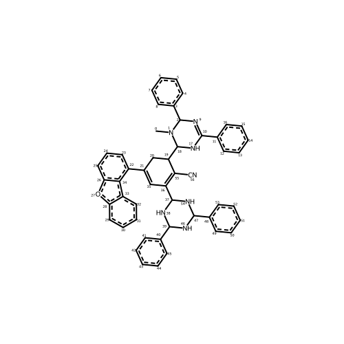 CN1C(c2ccccc2)N=C(c2ccccc2)NC1C1CC(c2cccc3oc4ccccc4c23)=CC(C2NC(c3ccccc3)NC(c3ccccc3)N2)=C1C#N